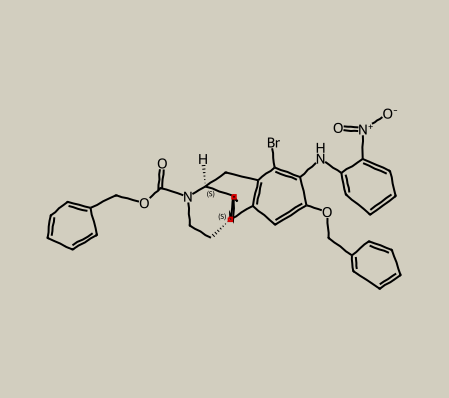 O=C(OCc1ccccc1)N1CC[C@@]23CCCCC2[C@@H]1Cc1c3cc(OCc2ccccc2)c(Nc2ccccc2[N+](=O)[O-])c1Br